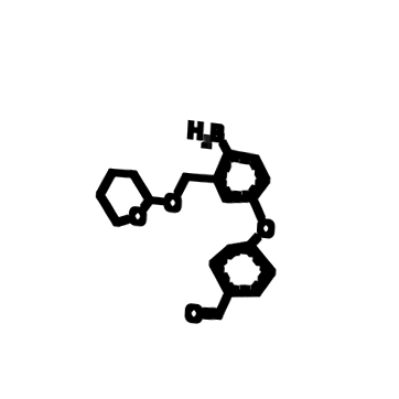 Bc1ccc(Oc2ccc(C=O)cc2)cc1COC1CCCCO1